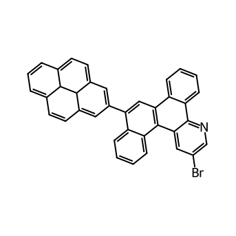 Brc1cnc2c3ccccc3c3cc(C4=CC5=CC=C6C=CC=C7C=CC(=C4)C5C76)c4ccccc4c3c2c1